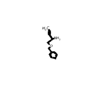 CC#CC(N)COCc1ccccc1